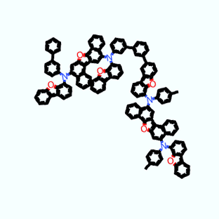 Cc1ccc(N(c2cc3c(oc4cc(N(c5ccc(C)cc5)c5cccc6c5oc5ccccc56)c5ccccc5c43)c3ccccc23)c2cccc3c2oc2ccc(-c4cccc(-c5cccc(N(c6cc7c(oc8cc(N(c9cccc(-c%10ccccc%10)c9)c9cccc%10c9oc9ccccc9%10)c9ccccc9c87)c7ccccc67)c6cccc7c6oc6ccccc67)c5)c4)cc23)cc1